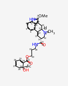 COc1[nH]c2cccc3c2c1C[C@@H]1C3=C[C@@H](C(=O)NCCCOC(=O)C2=CC=CCC2(O)C(C)=O)CN1C